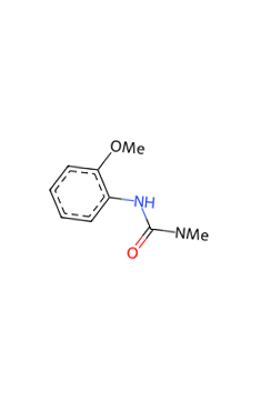 CNC(=O)Nc1ccccc1OC